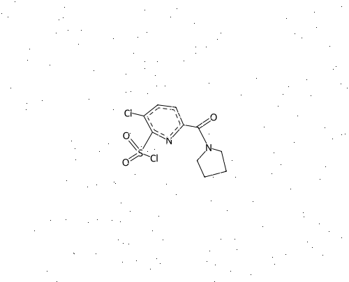 O=C(c1ccc(Cl)c(S(=O)(=O)Cl)n1)N1CCCC1